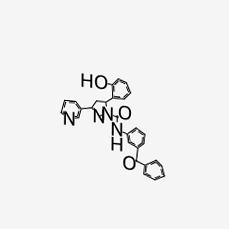 O=C(c1ccccc1)c1cccc(NC(=O)N2N=C(c3cccnc3)CC2c2ccccc2O)c1